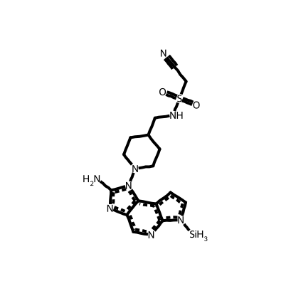 N#CCS(=O)(=O)NCC1CCN(n2c(N)nc3cnc4c(ccn4[SiH3])c32)CC1